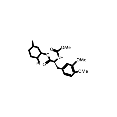 COC(=O)N[C@@H](Cc1ccc(OC)c(OC)c1)C(=O)OC1CC(C)CCC1C(C)C